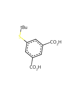 CC(C)(C)Sc1cc(C(=O)O)cc(C(=O)O)c1